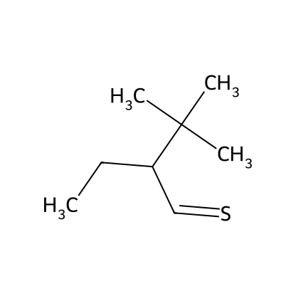 CCC(C=S)C(C)(C)C